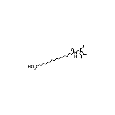 C=CCC(CC=C)(CC=C)CNC(=O)CCCCCCCCCCCCCCCCC(=O)O